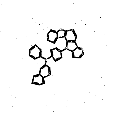 c1ccc(N(c2ccc(-n3c4cccnc4c4ccc5sc6ccccc6c5c43)cc2)c2ccc3ccccc3c2)cc1